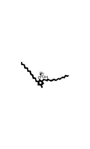 CCCCCCCCCCCCc1cc(C)cc(CCCCCCCCCCCC)c1OP(O)O